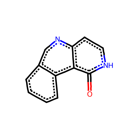 O=c1[nH]ccc2ncc3ccccc3c12